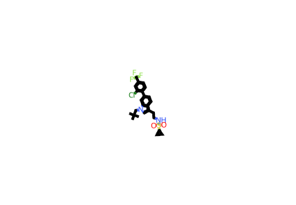 CC(C)(C)Cn1cc(CCNS(=O)(=O)C2CC2)c2ccc(-c3ccc(C(F)(F)F)cc3Cl)cc21